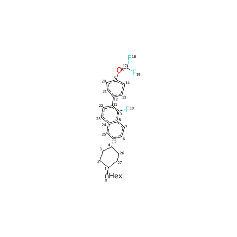 CCCCCC[C@H]1CC[C@H](c2ccc3c(F)c(-c4ccc(OC(F)F)cc4)ccc3c2)CC1